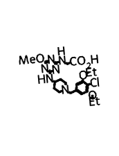 CCOc1cc(CN2CCC(Nc3nc(NCC(=O)O)nc(OC)n3)CC2)cc(OCC)c1Cl